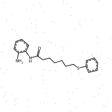 Nc1ccccc1NC(=O)CCCCCCSc1ccccc1